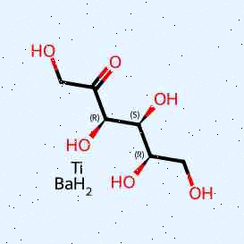 O=C(CO)[C@H](O)[C@@H](O)[C@H](O)CO.[BaH2].[Ti]